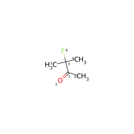 CC(=O)C(C)(C)F